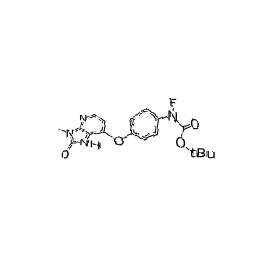 Cn1c(=O)[nH]c2c(Oc3ccc(N(F)C(=O)OC(C)(C)C)cc3)ccnc21